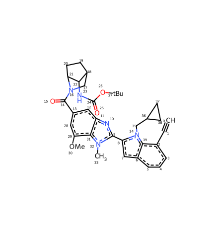 C#Cc1cccc2cc(-c3nc4cc(C(=O)N5CC6CCC5C6NC(=O)OC(C)(C)C)cc(OC)c4n3C)n(CC3CC3)c12